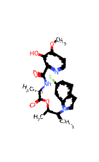 COc1ccnc(C(=O)N[C@@H](C)C(=O)OC(C)C(C)n2ccc3ccc(F)cc32)c1O